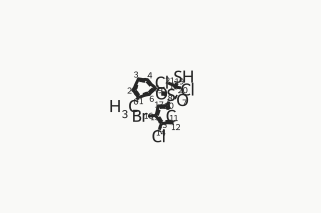 Cc1ccccc1.O=S(=O)(c1ccc(Cl)c(Br)c1)C(S)(Cl)Cl